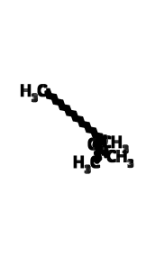 CCCCCCCCCCCCCCCCCCN(C)C(=O)N(CCC)CCC